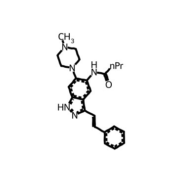 CCCC(=O)Nc1cc2c(C=Cc3ccccc3)n[nH]c2cc1N1CCN(C)CC1